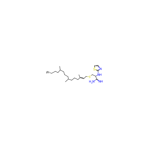 C/C(=C\CSCC(Nc1nccs1)C(=N)N)CCCC(C)CCCC(C)CCCC(C)C